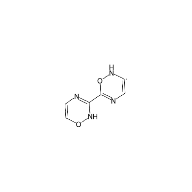 [C]1=CN=C(C2=NC=CON2)ON1